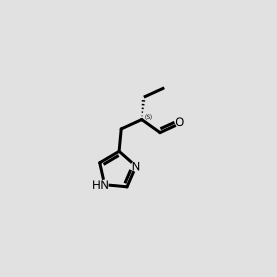 CC[C@H](C=O)Cc1c[nH]cn1